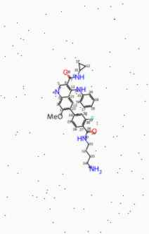 COc1cc2ncc(C(=O)NC3CC3)c(Nc3ccccc3)c2cc1-c1ccc(C(=O)NCCCCN)c(F)c1